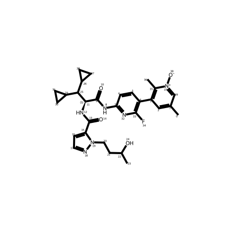 Cc1cc(-c2ccc(NC(=O)[C@@H](NC(=O)c3ccnn3CCC(C)O)C(C3CC3)C3CC3)nc2F)c(C)[n+]([O-])c1